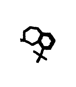 CC(C)(C)c1cccc2c1CNCCC2